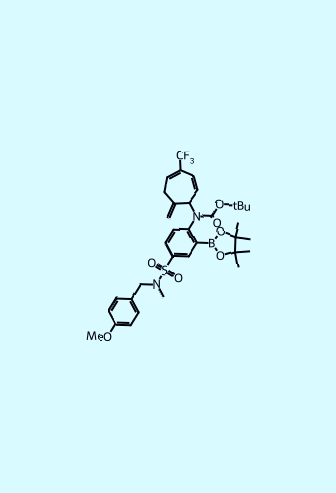 C=C1CC=C(C(F)(F)F)C=CC1N(C(=O)OC(C)(C)C)c1ccc(S(=O)(=O)N(C)Cc2ccc(OC)cc2)cc1B1OC(C)(C)C(C)(C)O1